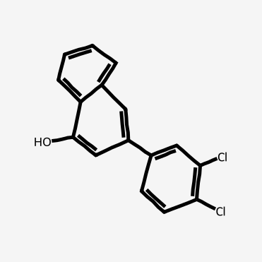 Oc1cc(-c2ccc(Cl)c(Cl)c2)cc2ccccc12